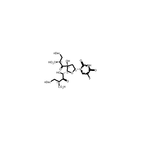 CCCCCCCCCCC[C@H](C(=O)O)C(=O)C(O)[C@H]1O[C@@H](n2cc(F)c(=O)[nH]c2=O)C[C@@]1(O)C(=O)[C@H](CCCCCCCCCCC)C(=O)O